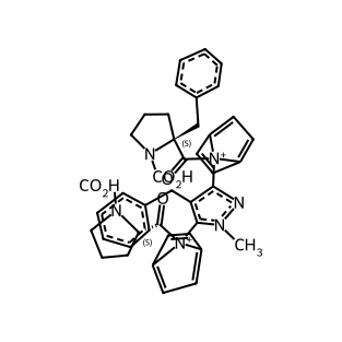 Cn1nc([N+]2(C(=O)[C@@]3(Cc4ccccc4)CCCN3C(=O)O)C3=CC=C2C=C3)c(Cc2ccccc2)c1[N+]1(C(=O)[C@@H]2CCCN2C(=O)O)C2=CC=C1C=C2